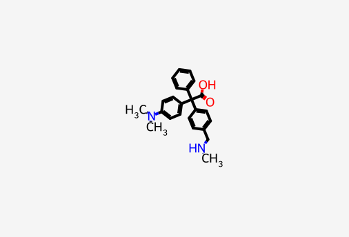 CNCc1ccc(C(C(=O)O)(c2ccccc2)c2ccc(N(C)C)cc2)cc1